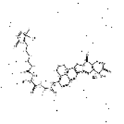 CC[C@@]1(O)C(=O)OCc2c1cc1n(c2=O)Cc2c-1nc1ccc(NC(=O)[C@H](C)NC(=O)[C@@H](NC(=O)CCCCCN3C(=O)C=CC3(C)O)C(C)C)c3c1c2CCC3